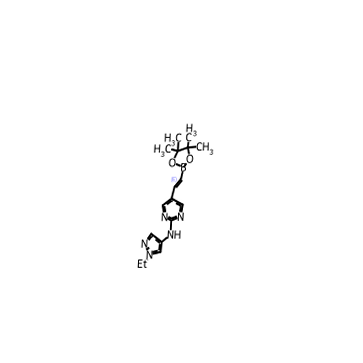 CCn1cc(Nc2ncc(/C=C/B3OC(C)(C)C(C)(C)O3)cn2)cn1